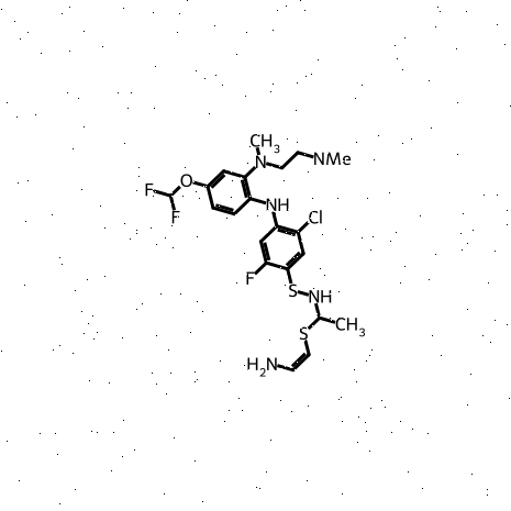 CNCCN(C)c1cc(OC(F)F)ccc1Nc1cc(F)c(SNC(C)S/C=C\N)cc1Cl